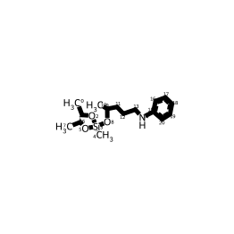 CCO[Si](C)(OCC)OC(C)CCCNc1ccccc1